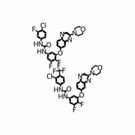 O=C(Nc1ccc(C(F)(F)F)c(Cl)c1)Nc1cc(F)c(F)c(Oc2ccc3ncc(N4CCOCC4)nc3c2)c1.O=C(Nc1ccc(Cl)c(F)c1)Nc1cc(F)c(F)c(Oc2ccc3ncc(N4CCOCC4)nc3c2)c1